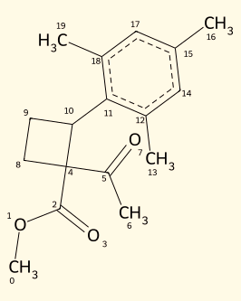 COC(=O)C1(C(C)=O)CCC1c1c(C)cc(C)cc1C